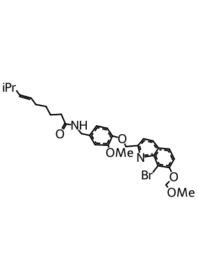 COCOc1ccc2ccc(COc3ccc(CNC(=O)CCCC/C=C/C(C)C)cc3OC)nc2c1Br